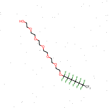 OCCOCCOCCOCCOCCOCCOC(F)(F)C(F)(F)C(F)(F)C(F)(F)C(F)(F)C(F)(F)C(F)(F)F